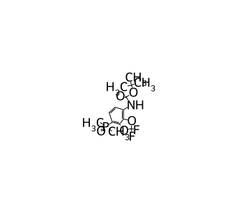 CC(C)(C)OC(=O)Nc1ccc(P(C)(C)=O)c2c1OC(F)(F)O2